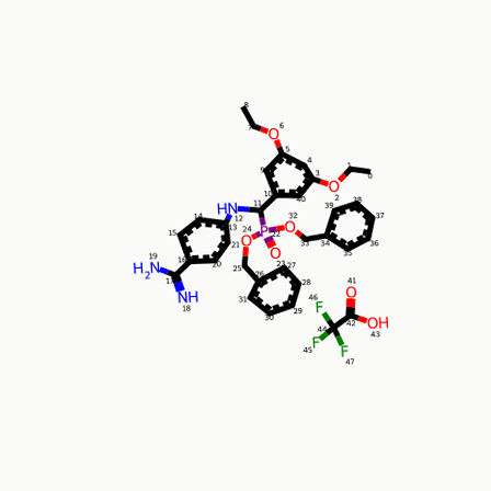 CCOc1cc(OCC)cc(C(Nc2ccc(C(=N)N)cc2)P(=O)(OCc2ccccc2)OCc2ccccc2)c1.O=C(O)C(F)(F)F